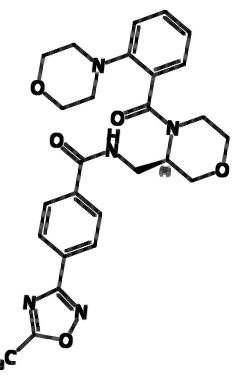 O=C(NC[C@@H]1COCCN1C(=O)c1ccccc1N1CCOCC1)c1ccc(-c2noc(C(F)(F)F)n2)cc1